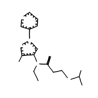 CCN(C(=O)CCSC(C)C)c1cn(-c2cccnc2)nc1Cl